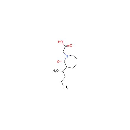 CCCC(C)C1CCCCN(CC(=O)O)C1=O